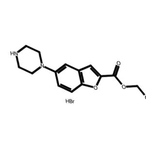 Br.CCOC(=O)c1cc2cc(N3CCNCC3)ccc2o1